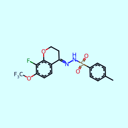 Cc1ccc(S(=O)(=O)NN=C2CCOc3c2ccc(OC(F)(F)F)c3F)cc1